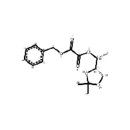 C[C@@H](OC(=O)C(=O)OCc1ccccc1)[C@@H]1COC(C)(C)O1